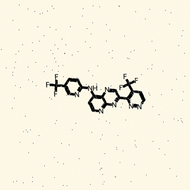 FC(F)(F)c1ccc(Nc2ccnc3nc(-c4nnccc4C(F)(F)F)cnc23)nc1